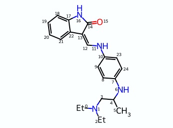 CCN(CC)CC(C)Nc1ccc(NC=C2C(=O)Nc3ccccc32)cc1